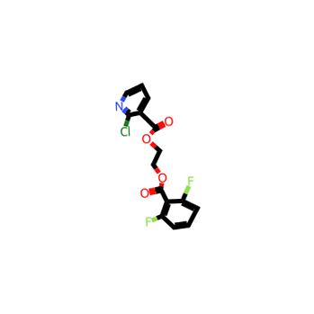 O=C(OCCOC(=O)c1c(F)cccc1F)c1cccnc1Cl